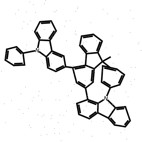 CC1(C)c2ccccc2-c2c(-c3ccc4c(c3)c3ccccc3n4-c3ccccc3)cc(-c3cccc4c5ccccc5n(-c5ccccc5)c34)cc21